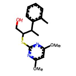 COc1cc(OC)nc(SC(CO)C(C)c2ccccc2C)n1